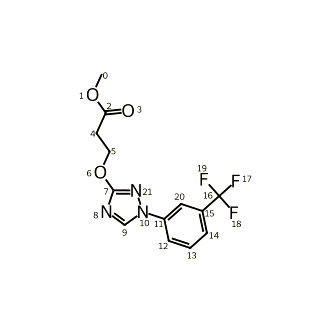 COC(=O)CCOc1ncn(-c2cccc(C(F)(F)F)c2)n1